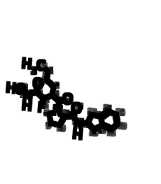 CCCCC(C(=O)N1CCCC1C(=O)NC1Cc2ccccc2C1)C(F)C(=O)NO